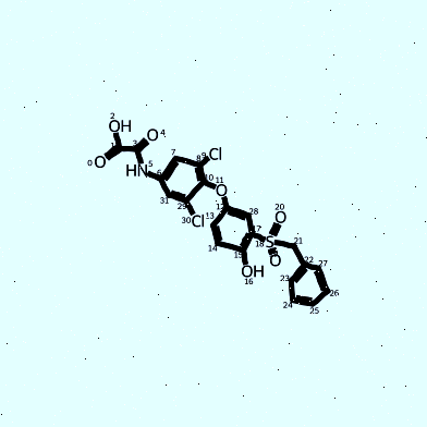 O=C(O)C(=O)Nc1cc(Cl)c(Oc2ccc(O)c(S(=O)(=O)Cc3ccccc3)c2)c(Cl)c1